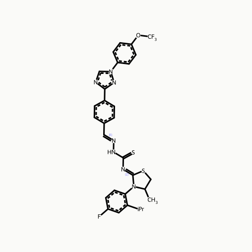 CC(C)c1cc(F)ccc1N1/C(=N/C(=S)N/N=C/c2ccc(-c3ncn(-c4ccc(OC(F)(F)F)cc4)n3)cc2)SCC1C